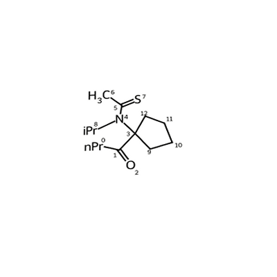 CCCC(=O)C1(N(C(C)=S)C(C)C)CCCC1